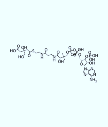 CC(C)(COP(=O)(O)OP(=O)(O)OC[C@H]1O[C@@H](n2cnc3c(N)ncnc32)[C@H](O)[C@@H]1OP(=O)(O)O)[C@@H](O)C(=O)NCCC(=O)NCCSC(=O)CC(O)(CO)CC(=O)O